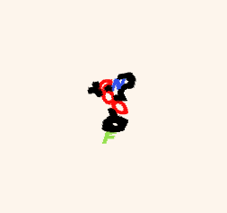 CC(C)(C)OC(=O)N1CCCCC1CCOCc1ccc(F)cc1